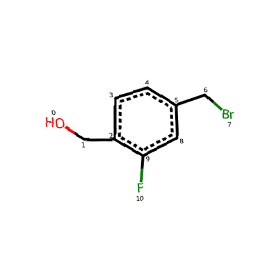 OCc1ccc(CBr)cc1F